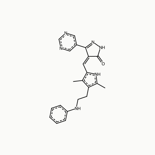 Cc1[nH]c(C=C2C(=O)NN=C2c2cncnc2)c(C)c1CCNc1ccccc1